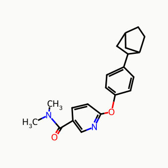 CN(C)C(=O)c1ccc(Oc2ccc(C3CC4CCC3C4)cc2)nc1